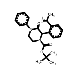 CC(C)c1ccccc1C1C(=O)N(c2ccccc2)CCN1C(=O)OC(C)(C)C